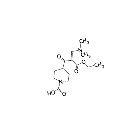 CCOC(=O)C(=CN(C)C)C(=O)C1CCN(C(=O)O)CC1